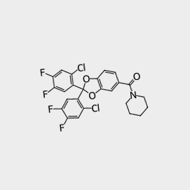 O=C(c1ccc2c(c1)OC(c1cc(F)c(F)cc1Cl)(c1cc(F)c(F)cc1Cl)O2)N1CCCCC1